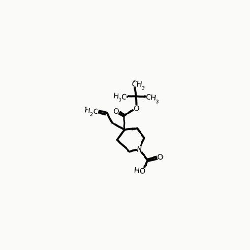 C=CCC1(C(=O)OC(C)(C)C)CCN(C(=O)O)CC1